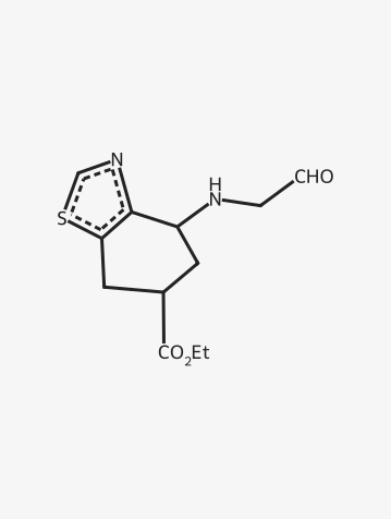 CCOC(=O)C1Cc2scnc2C(NCC=O)C1